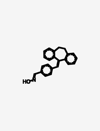 O/N=C/c1ccc(C=C2c3ccccc3CCc3ccccc32)cc1